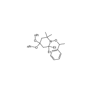 CCCOC1(OCCC)CC(C)(C)N(OC(C)c2ccccc2)C(CC)(CC)C1